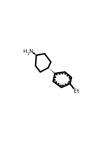 CCc1ccc([C@H]2CC[C@H](N)CC2)cc1